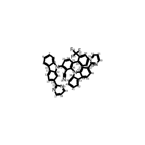 N#Cc1c(-n2c3ccccc3c3ccc(-c4ncccn4)cc32)ccc(-c2ccccc2C(F)(F)F)c1-n1c2ccccc2c2ccc(-c3ncccn3)cc21